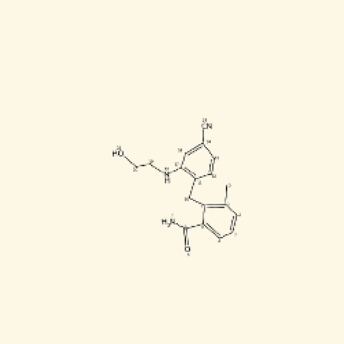 Cc1cccc(C(N)=O)c1Cc1ccc(C#N)cc1NCCO